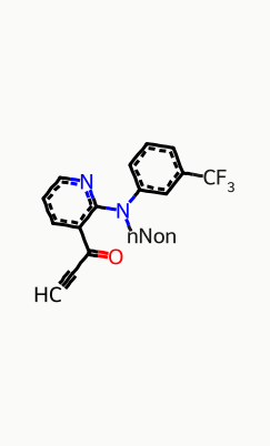 C#CC(=O)c1cccnc1N(CCCCCCCCC)c1cccc(C(F)(F)F)c1